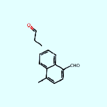 CCC=O.Cc1ccc(C=O)c2ccccc12